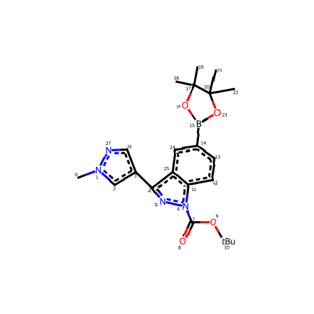 Cn1cc(-c2nn(C(=O)OC(C)(C)C)c3ccc(B4OC(C)(C)C(C)(C)O4)cc23)cn1